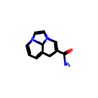 NC(=O)C1=CN2C=CN3C=CC=C(C1)C32